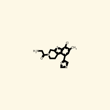 Cc1cc(-c2cncs2)c2c3c(sc2c1Cl)CN(C(=O)CN)CC3